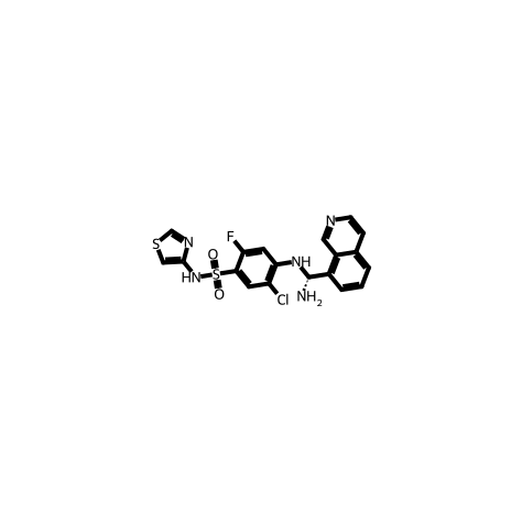 N[C@H](Nc1cc(F)c(S(=O)(=O)Nc2cscn2)cc1Cl)c1cccc2ccncc12